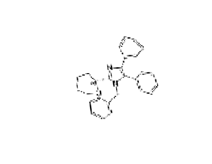 c1ccc(Cn2c([C@H]3CCCCO3)nc(-c3ccccc3)c2-c2ccccc2)cc1